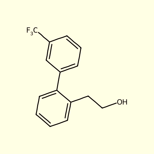 OCCc1ccccc1-c1cccc(C(F)(F)F)c1